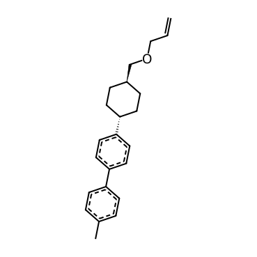 C=CCOC[C@H]1CC[C@H](c2ccc(-c3ccc(C)cc3)cc2)CC1